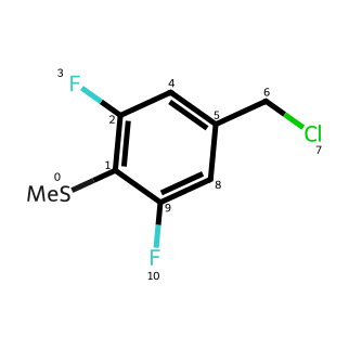 CSc1c(F)cc(CCl)cc1F